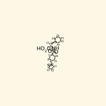 O=C(O)C1(NS(=O)(=O)c2ccc(-c3cccs3)cc2)CC1c1ccccc1